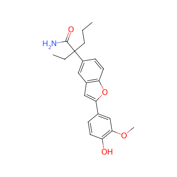 CCCC(CC)(C(N)=O)c1ccc2oc(-c3ccc(O)c(OC)c3)cc2c1